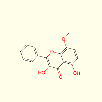 COc1ccc(O)c2c(=O)c(O)c(-c3ccccc3)oc12